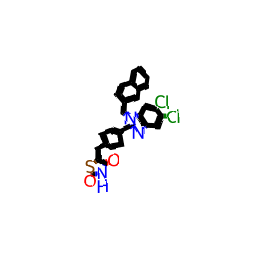 O=C1NC(=O)C(=Cc2ccc(-c3nc4cc(Cl)c(Cl)cc4n3Cc3ccc4ccccc4c3)cc2)S1